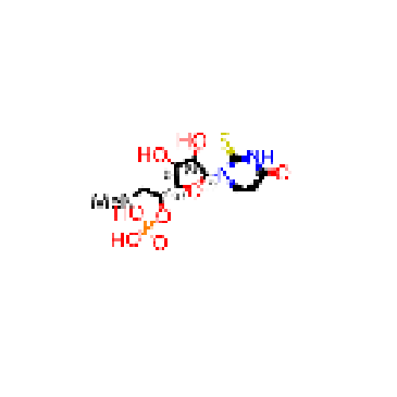 CNCC(OP(=O)(O)O)[C@H]1O[C@@H](n2ccc(=O)[nH]c2=S)[C@H](O)[C@@H]1O